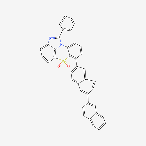 O=S1(=O)c2c(-c3ccc4cc(-c5ccc6ccccc6c5)ccc4c3)cccc2-n2c(-c3ccccc3)nc3cccc1c32